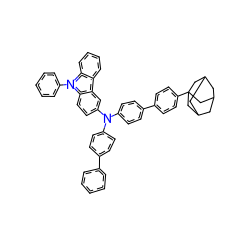 c1ccc(-c2ccc(N(c3ccc(-c4ccc(C56CC7CC(CC(C7)C5)C6)cc4)cc3)c3ccc4c(c3)c3ccccc3n4-c3ccccc3)cc2)cc1